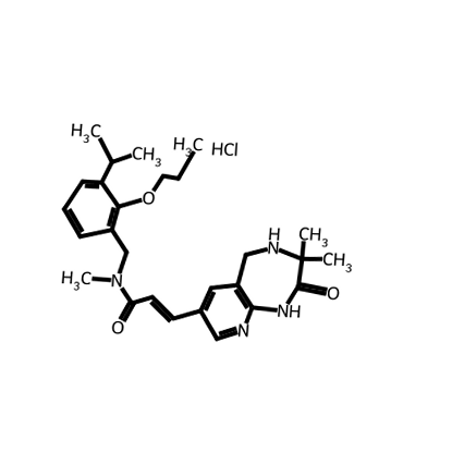 CCCOc1c(CN(C)C(=O)C=Cc2cnc3c(c2)CNC(C)(C)C(=O)N3)cccc1C(C)C.Cl